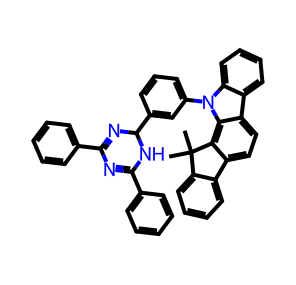 CC1(C)c2ccccc2-c2ccc3c4ccccc4n(-c4cccc(C5N=C(c6ccccc6)N=C(c6ccccc6)N5)c4)c3c21